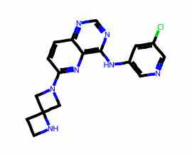 Clc1cncc(Nc2ncnc3ccc(N4CC5(CCN5)C4)nc23)c1